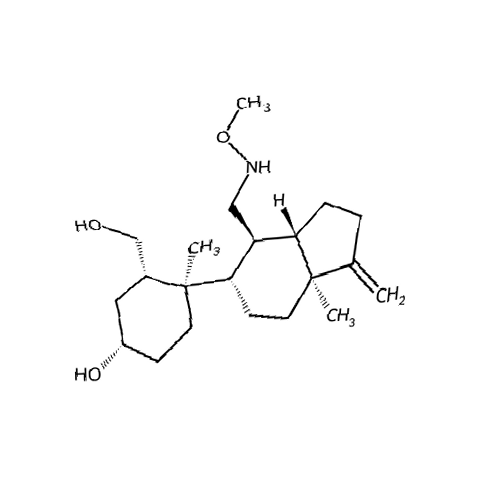 C=C1CC[C@H]2[C@H](CNOC)[C@@H]([C@@]3(C)CC[C@H](O)C[C@@H]3CO)CC[C@]12C